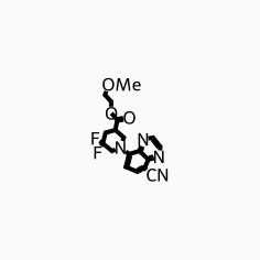 COCCOC(=O)C1CN(c2ccc(C#N)c3nccnc23)CC(F)(F)C1